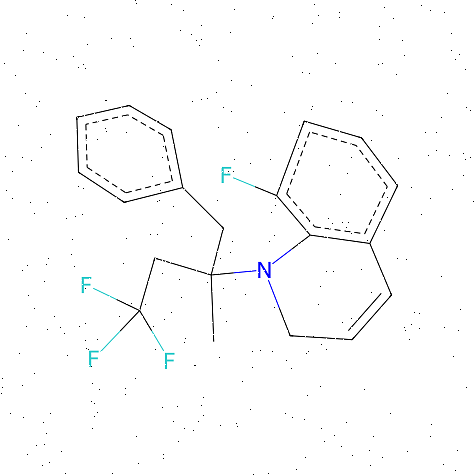 CC(Cc1ccccc1)(CC(F)(F)F)N1CC=Cc2cccc(F)c21